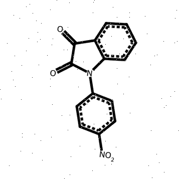 O=C1C(=O)N(c2ccc([N+](=O)[O-])cc2)c2ccccc21